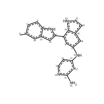 Cc1ccc2[nH]c(-c3cc(Nc4ccnc(N)n4)cc4cn[nH]c34)cc2c1